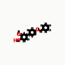 COc1cc(-c2ccc(OCc3ccccc3)cc2)ccc1O